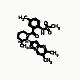 Cc1ccc(NS(C)(=O)=O)c(C(=O)N2CCC[C@H](C)[C@H]2c2cc3nc(C)c(C)cn3n2)c1